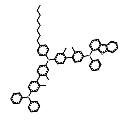 CCCCCCCCc1ccc(N(c2ccc(-c3ccc(N(c4ccccc4)c4ccccc4)cc3C)c(C)c2)c2ccc(-c3ccc(N(c4ccccc4)c4cccc5c4sc4ccccc45)cc3C)c(C)c2)cc1